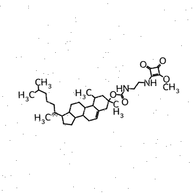 COc1c(NCCNC(=O)OC2(C)CC3=CCC4C5CCC([C@H](C)CCCC(C)C)C5CCC4C3C(C)C2)c(=O)c1=O